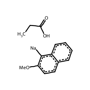 CCC(=O)O.COc1ccc2ccccc2[c]1[Na]